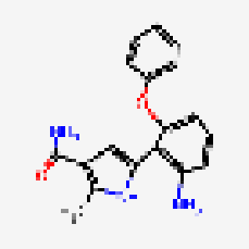 Cc1[nH]c(-c2c(N)cccc2Oc2ccccc2)cc1C(N)=O